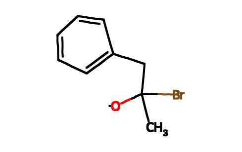 CC([O])(Br)Cc1ccccc1